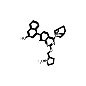 CN1CCCC1COc1nc(N2CC3CCC(C2)N3)c2ccc(-c3cc(O)cc4ccccc34)c(F)c2n1